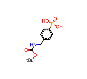 CC(C)(C)OC(=O)NCc1ccc(P(=O)(O)O)cc1